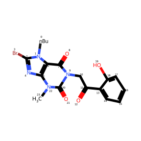 CCCCn1c(Br)nc2c1c(=O)n(CC(=O)c1ccccc1O)c(=O)n2C